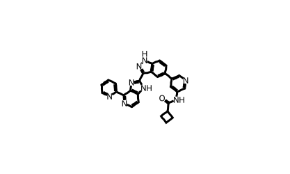 O=C(Nc1cncc(-c2ccc3[nH]nc(-c4nc5c(-c6ccccn6)nccc5[nH]4)c3c2)c1)C1CCC1